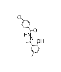 C/C(=N\NC(=O)c1ccc(Cl)cc1)c1cc(C)ccc1O